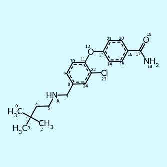 CC(C)(C)CCNCc1ccc(Oc2ccc(C(N)=O)cc2)c(Cl)c1